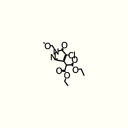 CCOC(=O)C(C(=O)OCC)c1cnn(COC)c(=O)c1Cl